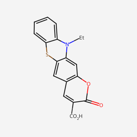 CCN1c2ccccc2Sc2cc3cc(C(=O)O)c(=O)oc3cc21